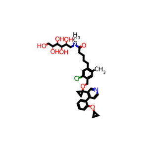 Cc1cc(COC2(c3cnccc3-c3ccccc3OC3CC3)CC2)c(Cl)cc1CCCCC(=O)N(C)C[C@H](O)[C@@H](O)[C@H](O)[C@H](O)CO